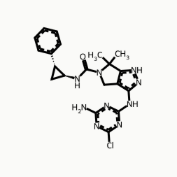 CC1(C)c2[nH]nc(Nc3nc(N)nc(Cl)n3)c2CN1C(=O)N[C@H]1C[C@@H]1c1ccccc1